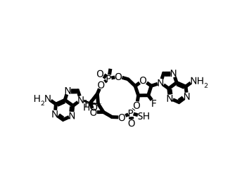 CP1(=O)OCC2OC(n3cnc4c(N)ncnc43)C(F)C2OP(=O)(S)OCC2O[C@@H](n3cnc4c(N)ncnc43)C(O1)[C@H]2O